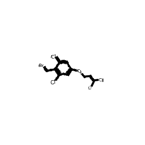 ClC(Cl)=CCOc1cc(Cl)c(CBr)c(Cl)c1